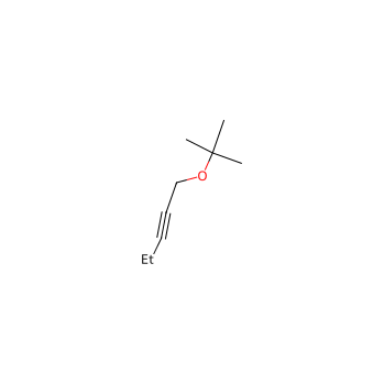 CCC#CCOC(C)(C)C